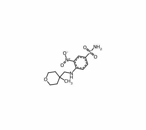 CC1(CNc2ccc(S(N)(=O)=O)cc2[N+](=O)[O-])CCOCC1